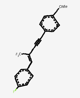 COc1ccc(C#CC(=Cc2ccc(F)cc2)C(F)(F)F)cc1